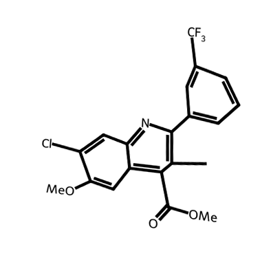 COC(=O)c1c(C)c(-c2cccc(C(F)(F)F)c2)nc2cc(Cl)c(OC)cc12